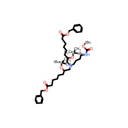 CC(C)(C)OC(=O)NCCCCN(CC(CCCCCC(=O)OCc1ccccc1)O[Si](C)(C)C(C)(C)C)CC(CCCCCC(=O)OCc1ccccc1)O[Si](C)(C)C(C)(C)C